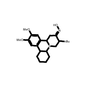 CCCCC1CN2C(CC1=NO)c1cc(OC)c(OC)cc1C1CCCCC12